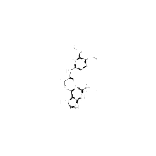 COc1ccc(NC(=O)[C@H](C)Sc2nc(N)nc3nc[nH]c23)nc1OC